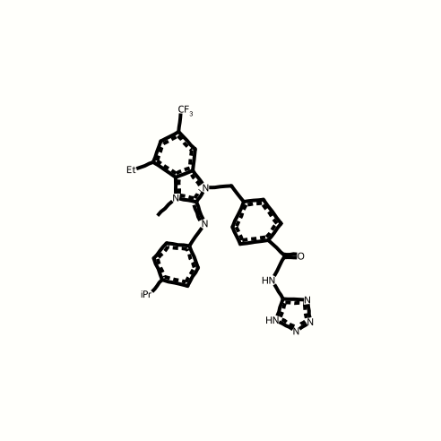 CCc1cc(C(F)(F)F)cc2c1n(C)c(=Nc1ccc(C(C)C)cc1)n2Cc1ccc(C(=O)Nc2nnn[nH]2)cc1